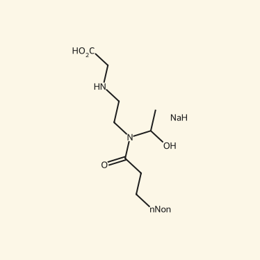 CCCCCCCCCCCC(=O)N(CCNCC(=O)O)C(C)O.[NaH]